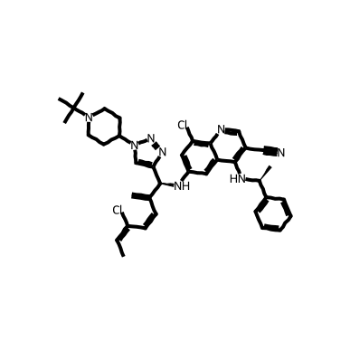 C=C(/C=C\C(Cl)=C/C)[C@H](Nc1cc(Cl)c2ncc(C#N)c(N[C@@H](C)c3ccccc3)c2c1)c1cn(C2CCN(C(C)(C)C)CC2)nn1